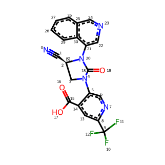 N#C[C@@H]1CN(c2cnc(C(F)(F)F)cc2C(=O)O)C(=O)N1c1cncc2ccccc12